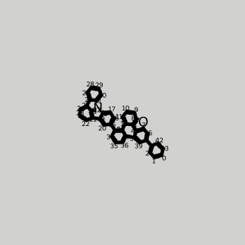 c1ccc(-c2cc3oc4cccc5c6c(-c7ccc8c(c7)c7cccc9c%10ccccc%10n8c97)cccc6c(c2)c3c45)cc1